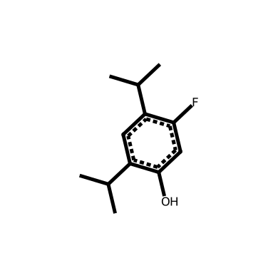 CC(C)c1cc(C(C)C)c(F)cc1O